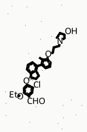 CCOc1cc(O[C@H]2CCc3c(-c4cccc(OCCCN5CCC(O)C5)c4C)cccc32)c(Cl)cc1C=O